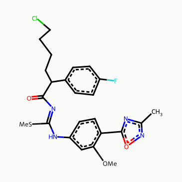 COc1cc(NC(=NC(=O)C(CCCCCl)c2ccc(F)cc2)SC)ccc1-c1nc(C)no1